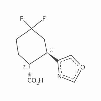 O=C(O)[C@@H]1CCC(F)(F)C[C@H]1c1cocn1